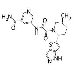 C[C@H]1CC[C@H](c2cc3[nH]ncc3s2)N(C(=O)C(=O)Nc2cncc(C(N)=O)c2)C1